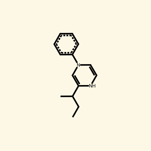 CCC(C)C1=CN(c2ccccc2)C=CN1